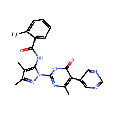 Cc1nn(-c2nc(C)c(-c3cncnc3)c(=O)[nH]2)c(NC(=O)c2ccccc2C(F)(F)F)c1C